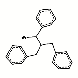 CCCC(c1ccccc1)N(Cc1ccccc1)Cc1ccccc1